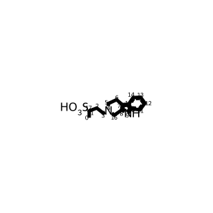 CC(CCN1CCc2c([nH]c3ccccc23)C1)S(=O)(=O)O